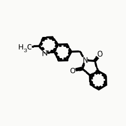 Cc1ccc2cc(CN3C(=O)c4ccccc4C3=O)ccc2n1